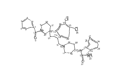 O=C(c1ccccc1)N1CCCC(CCCN2CCC(n3c(=O)[nH]c4ccccc43)CC2)(c2ccc(Cl)c(Cl)c2)C1